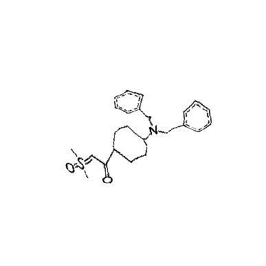 CS(C)(=O)=CC(=O)C1CCC(N(Cc2ccccc2)Cc2ccccc2)CC1